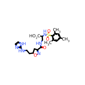 Cc1cc(C)c(S(=O)(=O)NC(CNC(=O)C2=NOC(CCNc3ncc[nH]3)C2)C(=O)O)c(C)c1